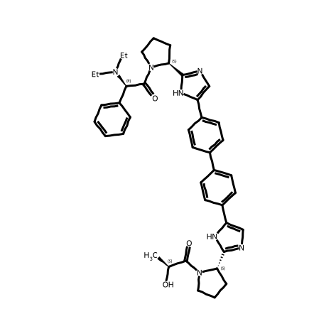 CCN(CC)[C@@H](C(=O)N1CCC[C@H]1c1ncc(-c2ccc(-c3ccc(-c4cnc([C@@H]5CCCN5C(=O)[C@H](C)O)[nH]4)cc3)cc2)[nH]1)c1ccccc1